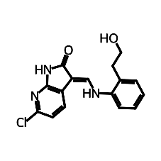 O=C1Nc2nc(Cl)ccc2/C1=C\Nc1ccccc1CCO